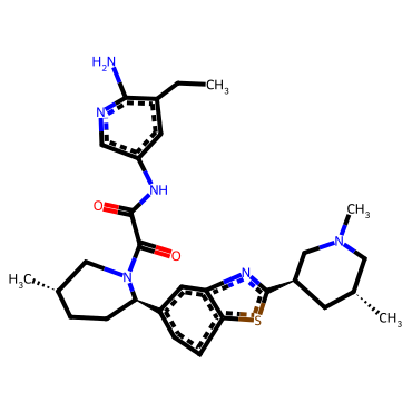 CCc1cc(NC(=O)C(=O)N2C[C@@H](C)CC[C@@H]2c2ccc3sc([C@@H]4C[C@@H](C)CN(C)C4)nc3c2)cnc1N